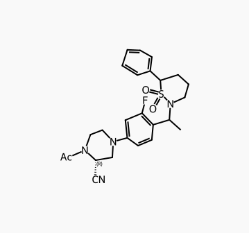 CC(=O)N1CCN(c2ccc(C(C)N3CCCC(c4ccccc4)S3(=O)=O)c(F)c2)C[C@@H]1C#N